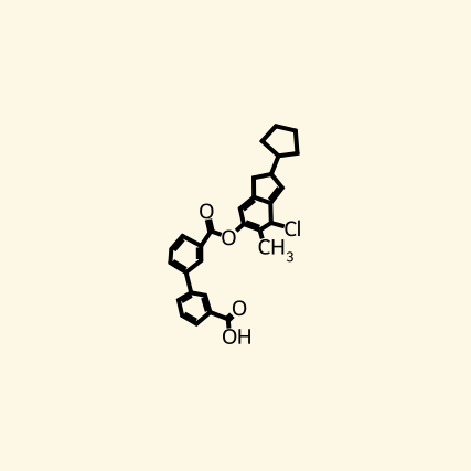 CC1=C(OC(=O)c2cccc(-c3cccc(C(=O)O)c3)c2)C=C2CC(C3CCCC3)C=C2C1Cl